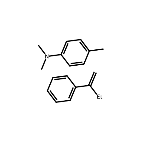 C=C(CC)c1ccccc1.Cc1ccc(N(C)C)cc1